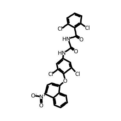 O=C(NC(=O)c1c(Cl)cccc1Cl)Nc1cc(Cl)c(Oc2ccc([N+](=O)[O-])c3ccccc23)c(Cl)c1